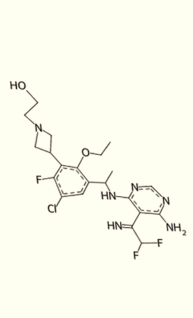 CCOc1c(C(C)Nc2ncnc(N)c2C(=N)C(F)F)cc(Cl)c(F)c1C1CN(CCO)C1